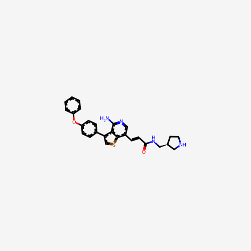 Nc1ncc(/C=C/C(=O)NC[C@H]2CCNC2)c2scc(-c3ccc(Oc4ccccc4)cc3)c12